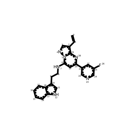 C=Cc1cnn2c(NCCc3c[nH]c4ccccc34)cc(-c3cncc(F)c3)nc12